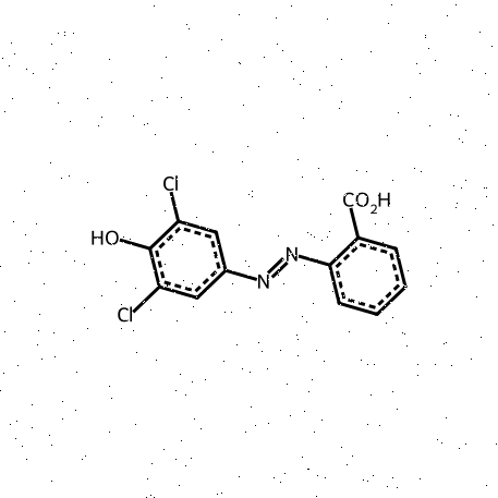 O=C(O)c1ccccc1N=Nc1cc(Cl)c(O)c(Cl)c1